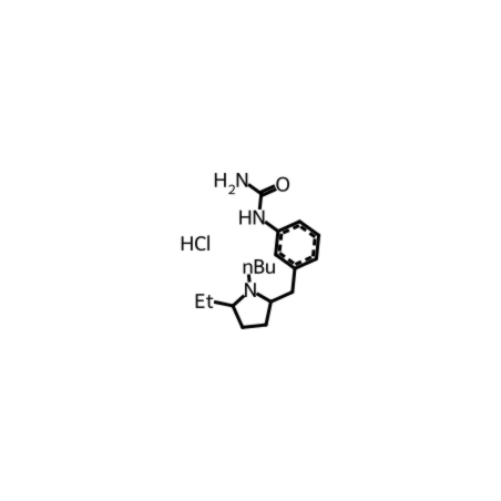 CCCCN1C(CC)CCC1Cc1cccc(NC(N)=O)c1.Cl